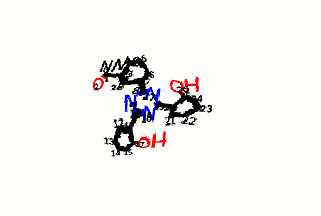 CNC(=O)c1cccc(-c2nc(-c3ccccc3O)nc(-c3ccccc3O)n2)c1